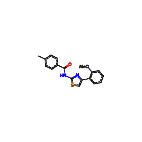 COc1ccccc1-c1csc(NC(=O)c2ccc(C)cc2)n1